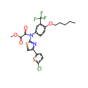 CCCCCOc1ccc(N(C(=O)C(=O)OC)c2nc(-c3ccc(Cl)s3)cs2)cc1C(F)(F)F